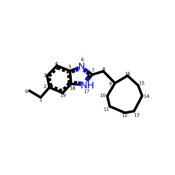 CCc1ccc2nc(CC3CCCCCCC3)[nH]c2c1